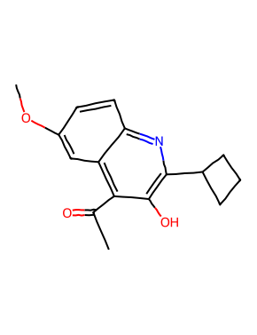 COc1ccc2nc(C3CCC3)c(O)c(C(C)=O)c2c1